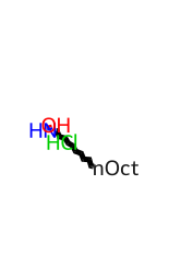 CCCCCCCCCCCCCCCCCCNO.Cl